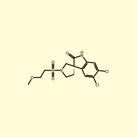 COCCS(=O)(=O)N1CC[C@]2(C1)C(=O)Nc1cc(Cl)c(Cl)cc12